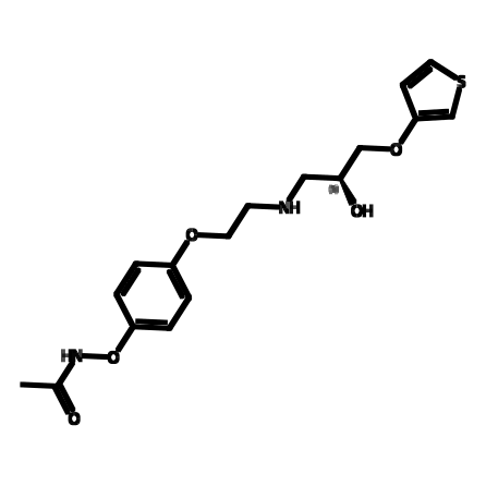 CC(=O)NOc1ccc(OCCNC[C@H](O)COc2ccsc2)cc1